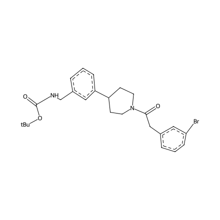 CC(C)(C)OC(=O)NCc1cccc(C2CCN(C(=O)Cc3cccc(Br)c3)CC2)c1